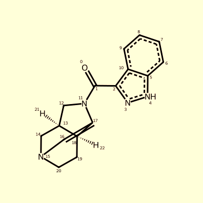 O=C(c1n[nH]c2ccccc12)N1C[C@@H]2CN3C=C1[C@H]2CC3